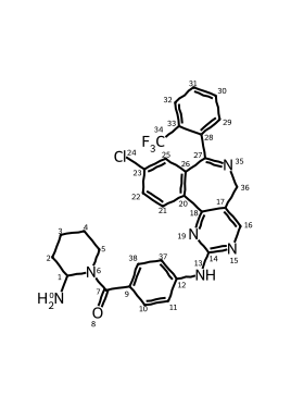 NC1CCCCN1C(=O)c1ccc(Nc2ncc3c(n2)-c2ccc(Cl)cc2C(c2ccccc2C(F)(F)F)=NC3)cc1